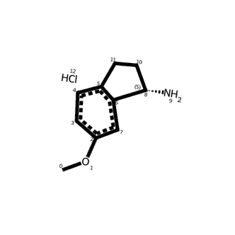 COc1ccc2c(c1)[C@@H](N)CC2.Cl